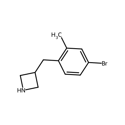 Cc1cc(Br)ccc1CC1CNC1